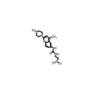 CCN(CC)CCNC(=O)Nc1ccc2nc(N3CCN(CC)CC3)cc(C)c2c1